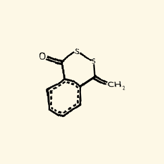 C=C1SSC(=O)c2ccccc21